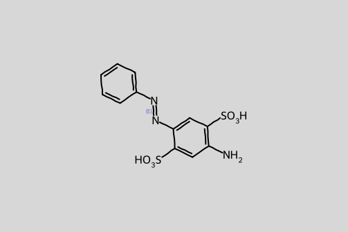 Nc1cc(S(=O)(=O)O)c(/N=N/c2ccccc2)cc1S(=O)(=O)O